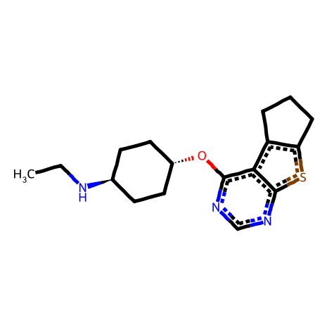 CCN[C@H]1CC[C@H](Oc2ncnc3sc4c(c23)CCC4)CC1